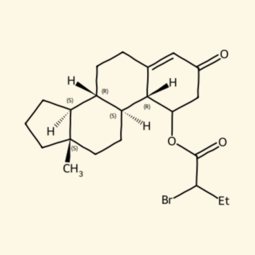 CCC(Br)C(=O)OC1CC(=O)C=C2CC[C@@H]3[C@H](CC[C@]4(C)CCC[C@@H]34)[C@H]21